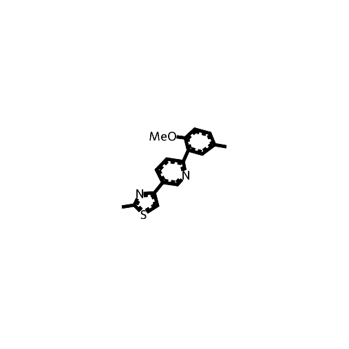 COc1ccc(C)cc1-c1ccc(-c2csc(C)n2)cn1